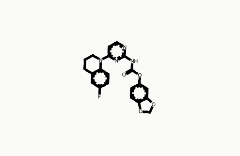 O=C(Nc1nccc(N2CCCc3cc(F)ccc32)n1)Oc1ccc2c(c1)OCO2